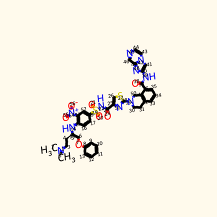 CN(C)CC[C@H](COc1ccccc1)Nc1ccc(S(=O)(=O)NC(=O)c2csc(N3CCc4cccc(C(=O)Nc5cn6ccncc6n5)c4C3)n2)cc1[N+](=O)[O-]